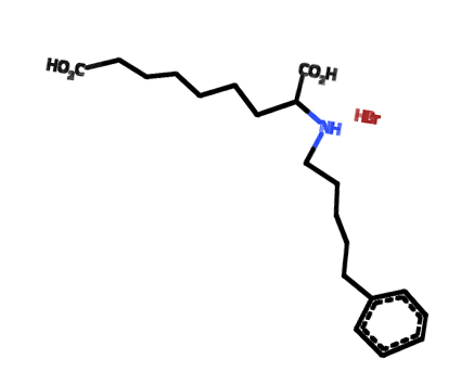 Br.O=C(O)CCCCCCC(NCCCCCc1ccccc1)C(=O)O